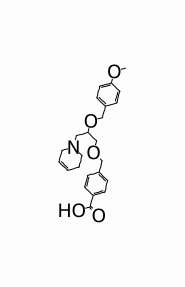 COc1ccc(COC(COCc2ccc(C(=O)O)cc2)CN2CC=CCC2)cc1